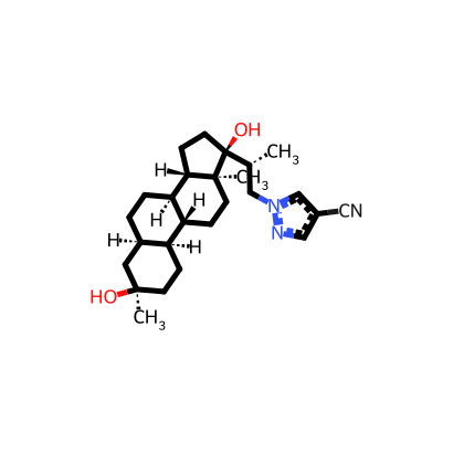 C[C@H](Cn1cc(C#N)cn1)[C@@]1(O)CC[C@H]2[C@@H]3CC[C@@H]4C[C@](C)(O)CC[C@@H]4[C@H]3CC[C@@]21C